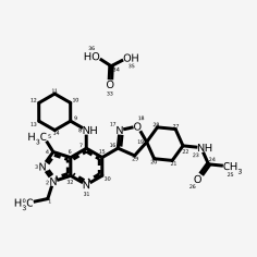 CCn1nc(C)c2c(NC3CCCCC3)c(C3=NOC4(CCC(NC(C)=O)CC4)C3)cnc21.O=C(O)O